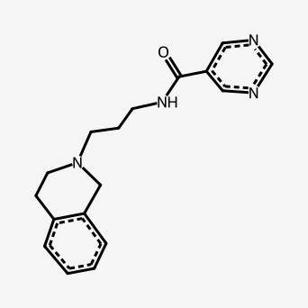 O=C(NCCCN1CCc2ccccc2C1)c1cncnc1